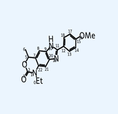 CCN1C(=O)OC(C)c2cc3[nH]c(-c4ccc(OC)cc4)nc3cc21